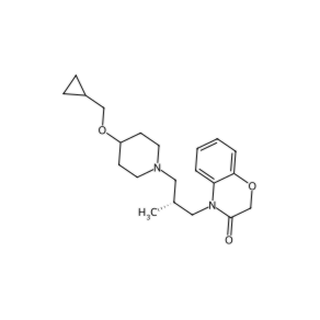 C[C@H](CN1CCC(OCC2CC2)CC1)CN1C(=O)COc2ccccc21